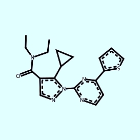 CCN(CC)C(=O)c1cnn(-c2nccc(-c3cccs3)n2)c1C1CC1